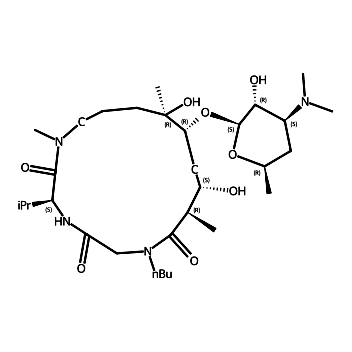 CCCCN1CC(=O)N[C@@H](C(C)C)C(=O)N(C)CCC[C@@](C)(O)[C@H](O[C@@H]2O[C@H](C)C[C@H](N(C)C)[C@H]2O)C[C@H](O)[C@@H](C)C1=O